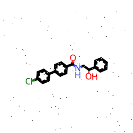 O=C(NC[C@H](O)c1ccccc1)c1ccc(-c2ccc(Cl)cc2)cc1